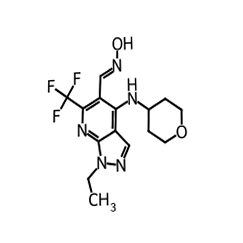 CCn1ncc2c(NC3CCOCC3)c(C=NO)c(C(F)(F)F)nc21